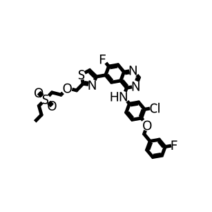 CCCS(=O)(=O)CCOCc1nc(-c2cc3c(Nc4ccc(OCc5cccc(F)c5)c(Cl)c4)ncnc3cc2F)cs1